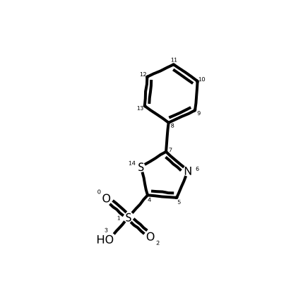 O=S(=O)(O)c1cnc(-c2ccccc2)s1